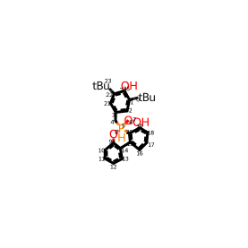 CC(C)(C)c1cc(C[PH]2(OO)Oc3ccccc3-c3ccccc32)cc(C(C)(C)C)c1O